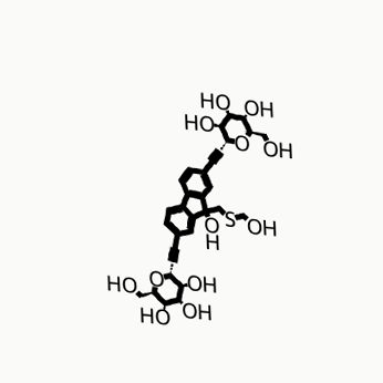 OCSCC1(O)c2cc(C#C[C@H]3O[C@H](CO)[C@@H](O)[C@H](O)[C@@H]3O)ccc2-c2ccc(C#C[C@H]3O[C@H](CO)[C@@H](O)[C@H](O)[C@@H]3O)cc21